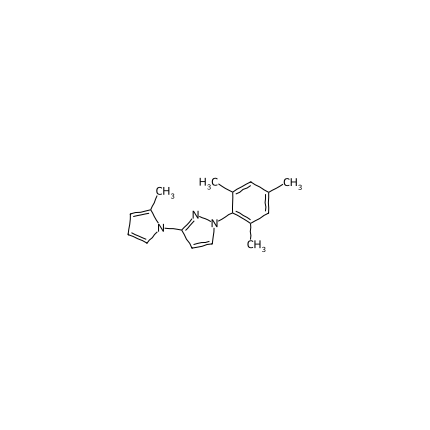 Cc1cc(C)c(-n2ccc(-n3cccc3C)n2)c(C)c1